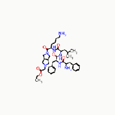 CCOC(=O)CN1CC2CN(C(=O)C(CCCCN)NC(=O)C(CC(C)C)NC(=O)C(Cc3ccccc3)NC(=O)C(N)Cc3ccccc3)CC2C1